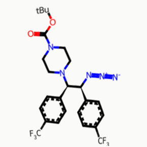 CC(C)(C)OC(=O)N1CCN([C@H](c2ccc(C(F)(F)F)cc2)[C@@H](N=[N+]=[N-])c2ccc(C(F)(F)F)cc2)CC1